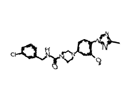 COc1cc(N2CCN(C(=O)NCc3cccc(Cl)c3)CC2)ccc1-n1cnc(C)n1